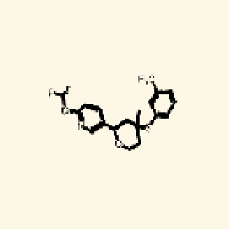 CC1(Sc2cccc(C(F)(F)F)c2)CCOC(c2ccc(OC(F)F)nc2)C1